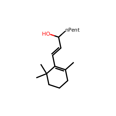 CCCCCC(O)C=CC1=C(C)CCCC1(C)C